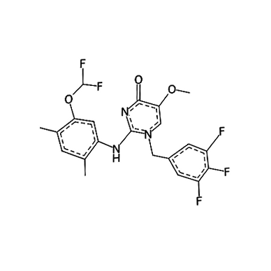 COc1cn(Cc2cc(F)c(F)c(F)c2)c(Nc2cc(OC(F)F)c(C)cc2C)nc1=O